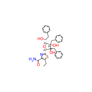 CCc1sc([C@@H]2O[C@H](C(O)Cc3ccccc3)[C@](O)(Cc3ccccc3)[C@]2(O)Cc2ccccc2)nc1C(N)=O